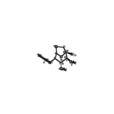 CC(=O)O[C@H]1[C@H](OC(C)=O)C(N=[N+]=[N-])C2OC[C@H]1O2